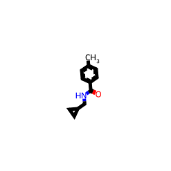 Cc1ccc(C(=O)NCC2CC2)cc1